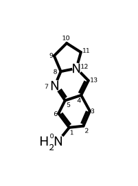 Nc1ccc2c(c1)=NC1CCCN1C=2